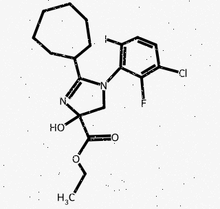 CCOC(=O)C1(O)CN(c2c(I)ccc(Cl)c2F)C(C2CCCCCC2)=N1